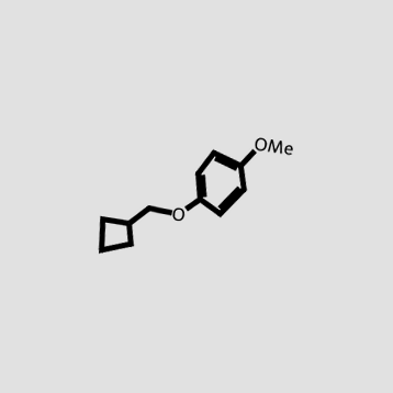 COc1ccc(OCC2CCC2)cc1